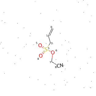 C=CCS(=O)(=O)OCC#N